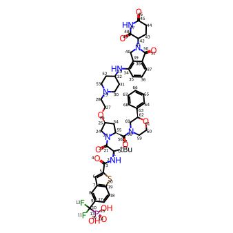 CC(C)(C)C(NC(=O)c1cc2cc(C(F)(F)P(=O)(O)O)ccc2s1)C(=O)N1C[C@@H](OCCN2CCC(Nc3cccc4c3CN(C3CCC(=O)NC3=O)C4=O)CC2)C[C@H]1C(=O)N1CCO[C@H](c2ccccc2)C1